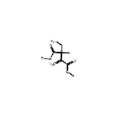 C=C(C(=O)OF)C(F)(CC)C(=O)OF